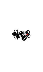 CC(=O)NC(CSC(=O)C(CSC(=O)Cc1ccccc1Nc1c(Cl)cccc1Cl)NC(C)=O)C(C)=O